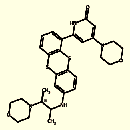 CC(Nc1ccc2c(c1)Sc1cccc(-c3cc(N4CCOCC4)cc(=O)[nH]3)c1S2)[C@H](C)N1CCOCC1